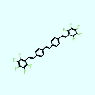 FC1=C(F)C(F)C(F)C(/C=C/c2ccc(/C=C/c3ccc(/C=C/c4c(F)c(F)c(F)c(F)c4F)cc3)cc2)=C1F